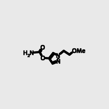 COCCn1cc(OC(N)=O)cn1